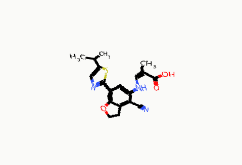 CC(=CNc1cc(-c2ncc(C(C)C)s2)c2c(c1C#N)CCO2)C(=O)O